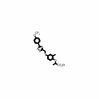 CCOC(=O)C(C)Oc1ccc(SCc2nnc(-c3ccc(OC(F)(F)F)cc3)s2)cc1C